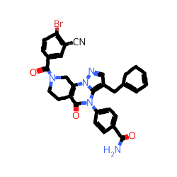 N#Cc1cc(C(=O)N2CCc3c(n4ncc(CC5=CC=CCC5)c4n(-c4ccc(C(N)=O)cc4)c3=O)C2)ccc1Br